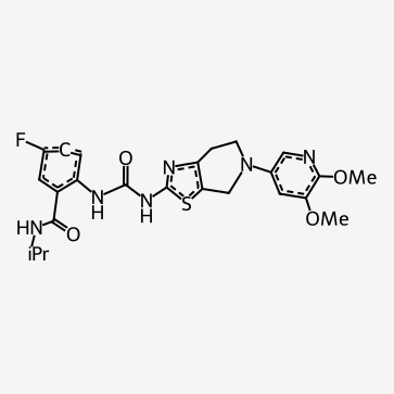 COc1cc(N2CCc3nc(NC(=O)Nc4ccc(F)cc4C(=O)NC(C)C)sc3C2)cnc1OC